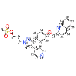 CS(=O)(=O)OCCCn1cc(-c2ccncc2)c(-c2ccc(OCc3ccc4ccccc4n3)cc2)n1